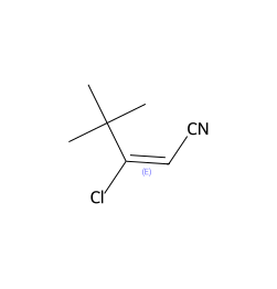 CC(C)(C)/C(Cl)=C\C#N